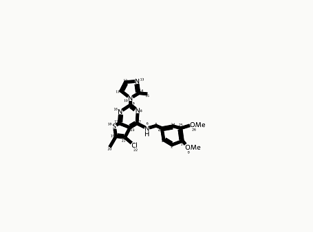 COc1ccc(CNc2nc(-n3ccnc3C)nc3sc(C)c(Cl)c23)cc1OC